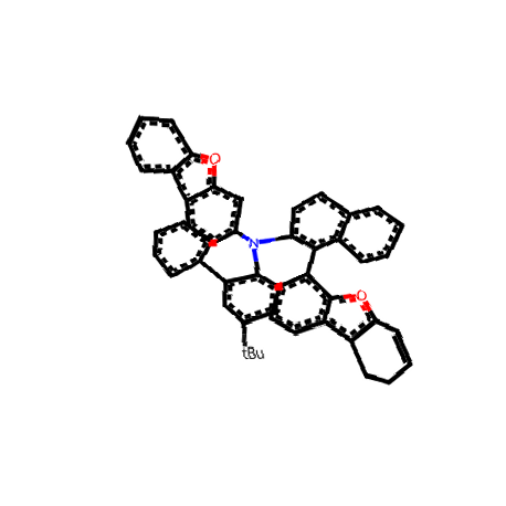 CC(C)(C)c1ccc(N(c2ccc3c(c2)oc2ccccc23)c2ccc3ccccc3c2-c2cccc3c4c(oc23)C=CCC4)c(-c2ccccc2)c1